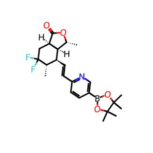 C[C@H]1OC(=O)[C@@H]2CC(F)(F)[C@@H](C)[C@H](C=Cc3ccc(B4OC(C)(C)C(C)(C)O4)cn3)[C@H]12